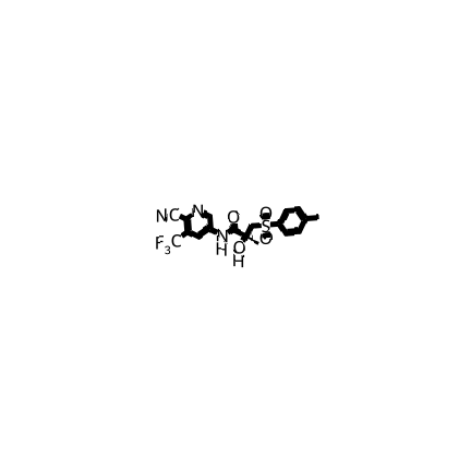 Cc1ccc(S(=O)(=O)C[C@](C)(O)C(=O)Nc2cnc(C#N)c(C(F)(F)F)c2)cc1